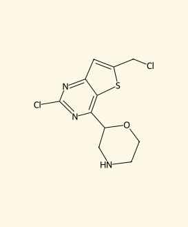 ClCc1cc2nc(Cl)nc(C3CNCCO3)c2s1